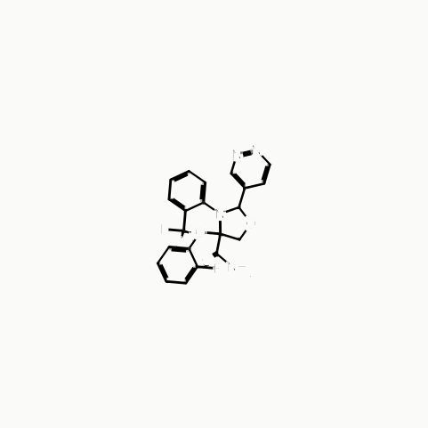 NC(=O)C1(Oc2ccccc2F)COC(c2ccnnc2)N1c1ccccc1C(F)(F)F